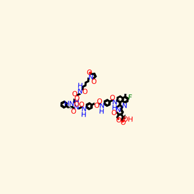 Cc1c(F)cc2nc3c(c4c2c1CC[C@@H]4NC(=O)c1ccc(NC(=O)OCc2ccc(NC(=O)CNC(=O)[C@H](Cc4ccccc4)NC(=O)COC(=O)CNC(=O)CCCCCN4C(=O)C=CC4=O)cc2)cc1)Cn1c-3cc2c(c1=O)COC(=O)[C@@]2(C)O